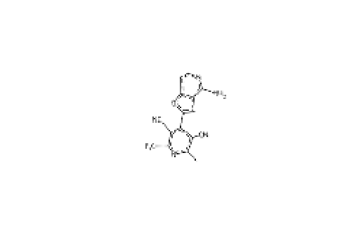 Cc1nc(C(F)(F)F)c(C#N)c(-c2cc3c(N)nccc3o2)c1C#N